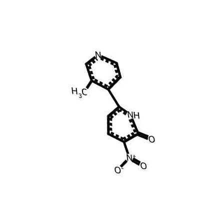 Cc1cnccc1-c1ccc([N+](=O)[O-])c(=O)[nH]1